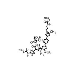 C[C@@H]1[C@H](NC(=O)C(=NOC(C)(COc2ccc(-c3cn(CCCNC(=O)OC(C)(C)C)[n+](C)c3)cc2)C(=O)OC(C)(C)C)c2csc(NC(=O)OC(C)(C)C)n2)C(=O)N1S(=O)(=O)O